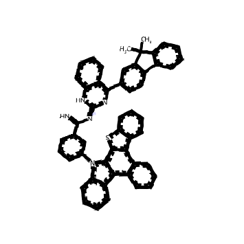 CC1(C)c2ccccc2-c2ccc(-c3n/c(=N/C(=N)c4cccc(-n5c6ccccc6c6c7ccccc7c7c8ccccc8sc7c65)c4)[nH]c4ccccc34)cc21